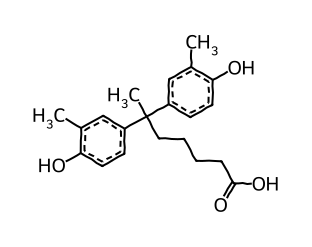 Cc1cc(C(C)(CCCCC(=O)O)c2ccc(O)c(C)c2)ccc1O